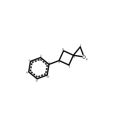 c1ccc(C2CC3(CO3)C2)cc1